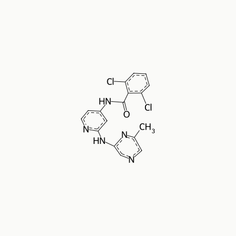 Cc1cncc(Nc2cc(NC(=O)c3c(Cl)cccc3Cl)ccn2)n1